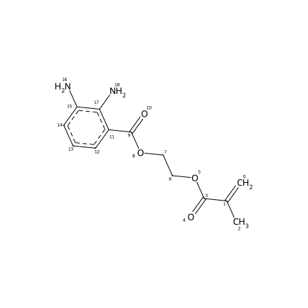 C=C(C)C(=O)OCCOC(=O)c1cccc(N)c1N